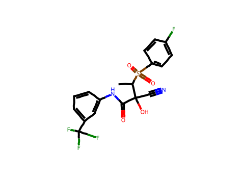 CC(C(O)(C#N)C(=O)Nc1cccc(C(F)(F)F)c1)S(=O)(=O)c1ccc(F)cc1